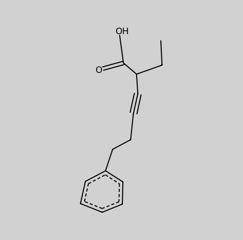 CCC(C#CCCc1ccccc1)C(=O)O